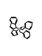 [CH2]=[Ti]([CH2]c1ccccc1)([CH2]c1ccccc1)([C]1=CC=CC1)[CH]1C=Cc2ccccc21